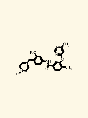 CCN1CCN(Cc2ccc(NC(=O)c3ccc(C)c(Oc4cc(C)ncn4)c3)cc2C(F)(F)F)CC1